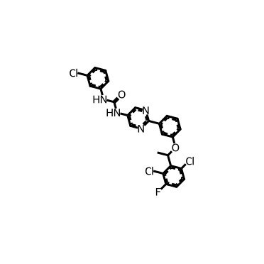 CC(Oc1cccc(-c2ncc(NC(=O)Nc3cccc(Cl)c3)cn2)c1)c1c(Cl)ccc(F)c1Cl